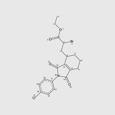 CCOC(=O)C(Br)CC1CCCC2=C1C(=O)N(c1ccc(Cl)cc1)C2=O